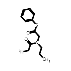 [3H]CC(=O)N(CCC)CC(=O)Sc1ccccc1